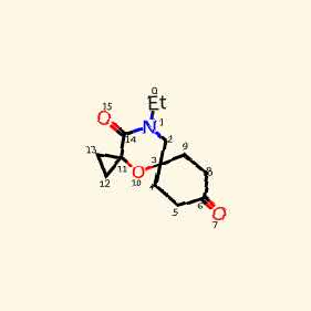 CCN1CC2(CCC(=O)CC2)OC2(CC2)C1=O